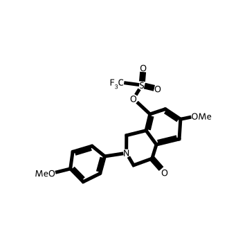 COc1ccc(N2CC(=O)c3cc(OC)cc(OS(=O)(=O)C(F)(F)F)c3C2)cc1